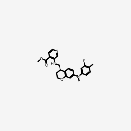 COC(=O)c1ccncc1NC[C@@H]1CCOc2cc(N(C)c3ccc(C)c(F)c3)ccc21